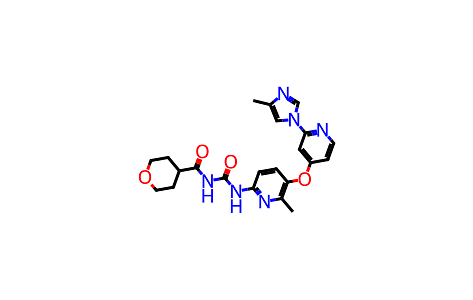 Cc1cn(-c2cc(Oc3ccc(NC(=O)NC(=O)C4CCOCC4)nc3C)ccn2)cn1